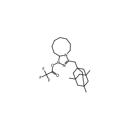 CC12CC3(C)CC(C)(C1)CC(CC1=NN(OC(=O)C(F)(F)F)C4CCCCCCCN14)(C2)C3